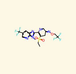 CCS(=O)(=O)C1=C(c2nc3cc(C(F)(F)F)cnc3n2C)N=CC(=NOCC(F)(F)F)C1